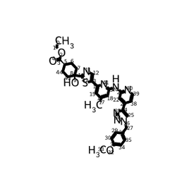 CCOC(=O)[C@H]1CC[C@](O)(c2ncc(-c3cc(C)cc(Nc4cc(-c5cn(Cc6ccc(OC)cc6)nn5)ccn4)n3)s2)CC1